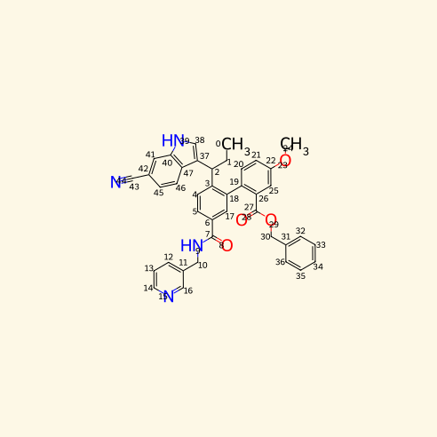 CCC(c1ccc(C(=O)NCc2cccnc2)cc1-c1ccc(OC)cc1C(=O)OCc1ccccc1)c1c[nH]c2cc(C#N)ccc12